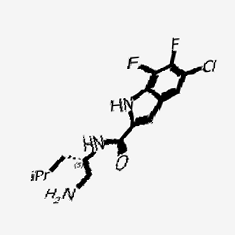 CC(C)C[C@@H](CN)NC(=O)c1cc2cc(Cl)c(F)c(F)c2[nH]1